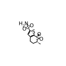 C[C@H]1CCc2cc(S(N)(=O)=O)sc2S1(=O)=O